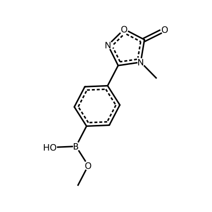 COB(O)c1ccc(-c2noc(=O)n2C)cc1